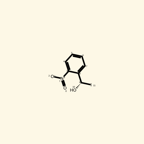 O=[N+]([O-])c1ccccc1[C@@H](O)I